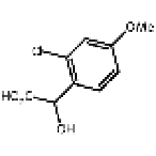 COc1ccc(C(O)C(=O)O)c(Cl)c1